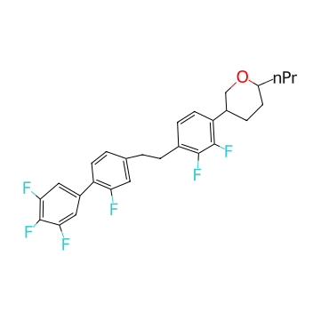 CCCC1CCC(c2ccc(CCc3ccc(-c4cc(F)c(F)c(F)c4)c(F)c3)c(F)c2F)CO1